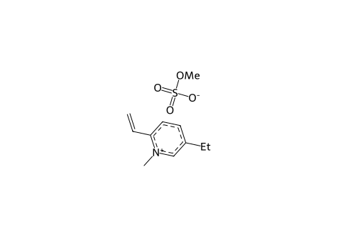 C=Cc1ccc(CC)c[n+]1C.COS(=O)(=O)[O-]